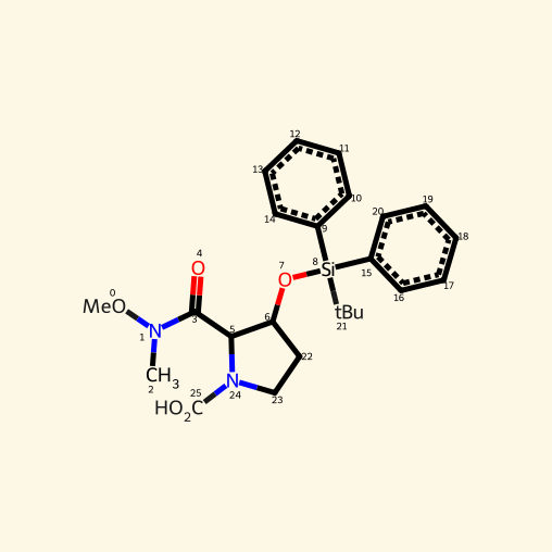 CON(C)C(=O)C1C(O[Si](c2ccccc2)(c2ccccc2)C(C)(C)C)CCN1C(=O)O